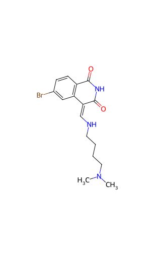 CN(C)CCCCNC=C1C(=O)NC(=O)c2ccc(Br)cc21